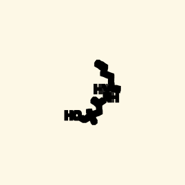 C=CCCC(=C)NNC(=C)CC(C)(C)CO